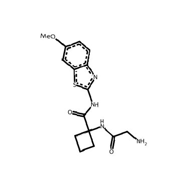 COc1ccc2nc(NC(=O)C3(NC(=O)CN)CCC3)sc2c1